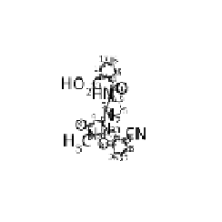 Cn1c(=O)cc(N2CCC[C@@H](NC(=O)c3ccccc3C(=O)O)C2)n(Cc2ccccc2C#N)c1=O